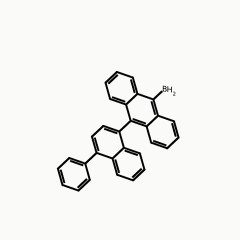 Bc1c2ccccc2c(-c2ccc(-c3ccccc3)c3ccccc23)c2ccccc12